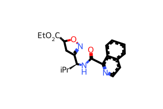 CCOC(=O)C1CC([C@@H](NC(=O)c2nccc3ccccc23)C(C)C)=NO1